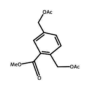 COC(=O)c1cc(COC(C)=O)ccc1COC(C)=O